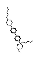 CCCCCC1CCC(c2ccc(-c3ccc(C4(CCCCC)CC[SiH2]CC4)cc3)cc2)CC1